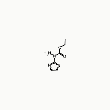 CCOC(=O)N(N)c1nccs1